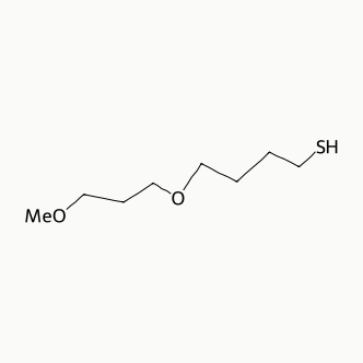 COCCCOCCCCS